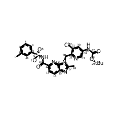 Cc1cccc(S(=O)(=O)NC(=O)c2ccc3nc(C)n(Cc4ncc(NC(=O)OC(C)(C)C)cc4Cl)c3n2)c1